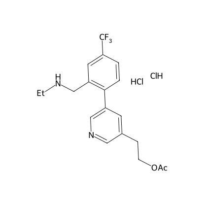 CCNCc1cc(C(F)(F)F)ccc1-c1cncc(CCOC(C)=O)c1.Cl.Cl